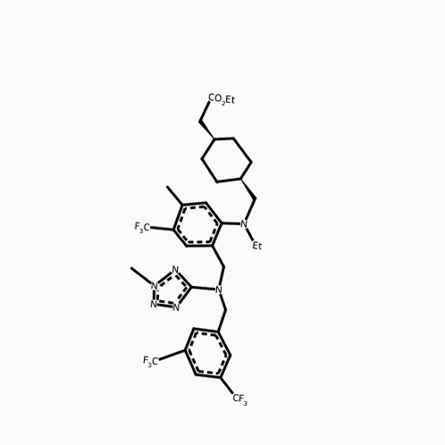 CCOC(=O)C[C@H]1CC[C@@H](CN(CC)c2cc(C)c(C(F)(F)F)cc2CN(Cc2cc(C(F)(F)F)cc(C(F)(F)F)c2)c2nnn(C)n2)CC1